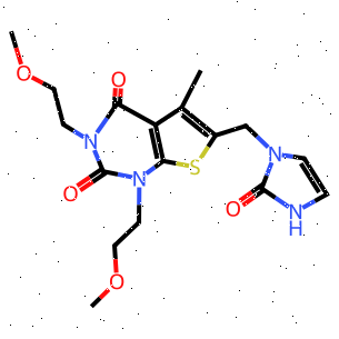 COCCn1c(=O)c2c(C)c(Cn3cc[nH]c3=O)sc2n(CCOC)c1=O